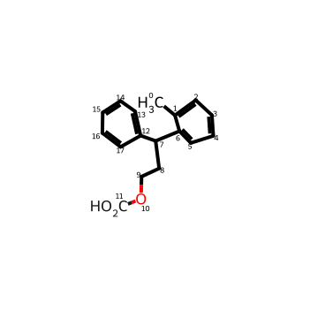 Cc1ccccc1C(CCOC(=O)O)c1ccccc1